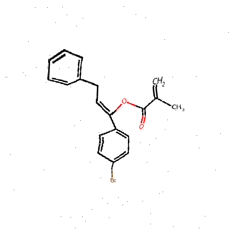 C=C(C)C(=O)OC(=CCc1ccccc1)c1ccc(Br)cc1